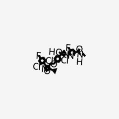 CCNC(=O)c1cnc(N2CC(O)(c3ccc(OCc4c(-c5c(Cl)cc(F)cc5Cl)noc4C4CC4)cc3Cl)C2)c(F)c1